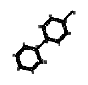 Cc1ccc(-c2cc[c]cn2)cc1